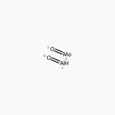 [O]=[AlH].[O]=[Mo]